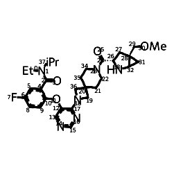 CCN(C(=O)c1cc(F)ccc1Oc1cncnc1N1CC2(CCN(C(=O)[C@@H]3C[C@]4(COC)CC4N3)CC2)C1)C(C)C